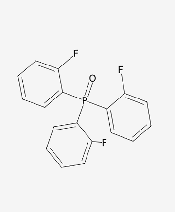 O=P(c1ccccc1F)(c1ccccc1F)c1ccccc1F